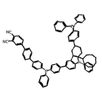 N#Cc1ccc(-c2ccc(-c3ccc(N(c4ccccc4)c4ccc(-c5ccc6c(c5)C5CC(c7ccc(N(c8ccccc8)c8ccccc8)cc7)CCC5(C5CCCCCCC5)N6c5ccccc5)cc4)cc3)cc2)cc1C#N